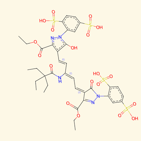 CCOC(=O)C1=NN(c2cc(S(=O)(=O)O)ccc2S(=O)(=O)O)C(=O)\C1=C/C=C(/C=C/c1c(C(=O)OCC)nn(-c2cc(S(=O)(=O)O)ccc2S(=O)(=O)O)c1O)NC(=O)C(CC)(CC)CC